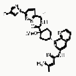 CO[C@]1(C(=O)N[C@@H](C)c2ccc(-n3cc(F)cn3)nn2)CC[C@@H](c2nc(NC(=N)/C=C(/C)N)cc3cccnc32)CC1